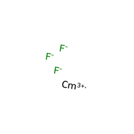 [Cm+3].[F-].[F-].[F-]